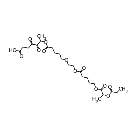 CCC(=O)OC(C)C(=O)OCCCCC(=O)OCCOCCCCC(=O)OC(C)C(=O)C(=O)CCC(=O)O